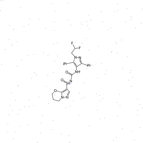 CC(C)c1nn(CC(F)F)c(C(C)C)c1NC(=O)/N=[SH](=O)/c1cnn2c1OCCC2